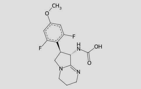 COc1cc(F)c([C@@H]2CN3CCCN=C3[C@H]2NC(=O)O)c(F)c1